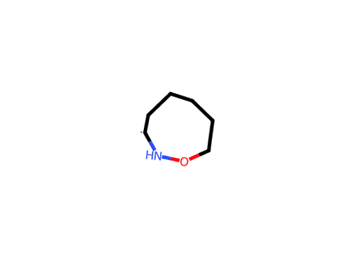 [CH]1CCCCCON1